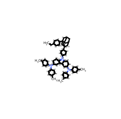 C=Cc1ccc(C23CC4CC(C2)CC(c2ccc(-n5c6ccc(N(c7ccc(C)cc7)c7ccc(C)cc7)cc6c6cc(N(c7ccc(C)cc7)c7ccc(C)cc7)ccc65)cc2)(C4)C3)cc1